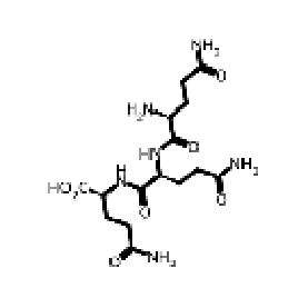 NC(=O)CC[C@H](NC(=O)[C@H](CCC(N)=O)NC(=O)[C@@H](N)CCC(N)=O)C(=O)O